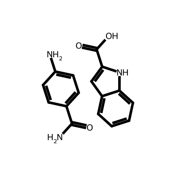 NC(=O)c1ccc(N)cc1.O=C(O)c1cc2ccccc2[nH]1